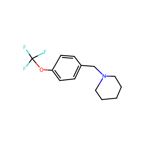 FC(F)(F)Oc1ccc(CN2CC[CH]CC2)cc1